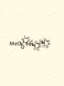 COC(=O)c1cccc(CNc2cccc(CN3CCCCC3)c2)c1